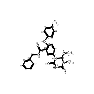 COC1N(C)C(=O)NC(=O)N1c1ccc(Oc2ccc(C)cc2)c(C(=O)OCc2ccccc2)c1